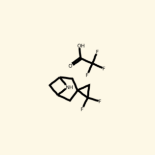 FC1(F)CC12CC1CC(C2)N1.O=C(O)C(F)(F)F